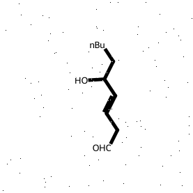 CCCCCC(O)C=CCC=O